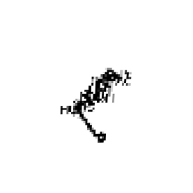 CCCN(CC(=O)N[C@@H](CC(C)C)C(=O)NCC(=O)N[C@@H](CO)C(=O)NC[C@@H](C)OP(=O)(O)OCCCCCCCCc1ccccc1)C(C)=O